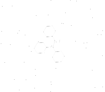 C1CCC(NN(C2CCCCC2)C2CCCCO2)CC1